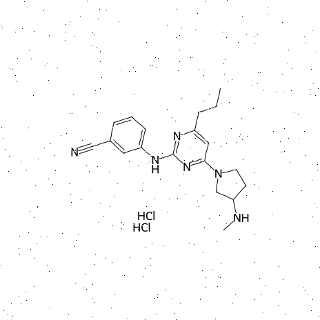 CCCc1cc(N2CCC(NC)C2)nc(Nc2cccc(C#N)c2)n1.Cl.Cl